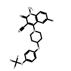 Cn1c(=O)c(C#N)c(N2CCC(Oc3ccc(OC(F)(F)F)cc3)CC2)c2cc(F)ccc21